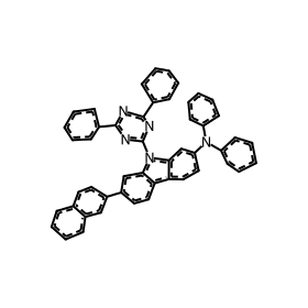 c1ccc(-c2nc(-c3ccccc3)nc(-n3c4cc(-c5ccc6ccccc6c5)ccc4c4ccc(N(c5ccccc5)c5ccccc5)cc43)n2)cc1